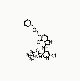 [2H]C([2H])([2H])NC(=O)c1cnc(Cl)cc1Nc1cn(C)c2ccn(CCOCc3ccccc3)c(=O)c12